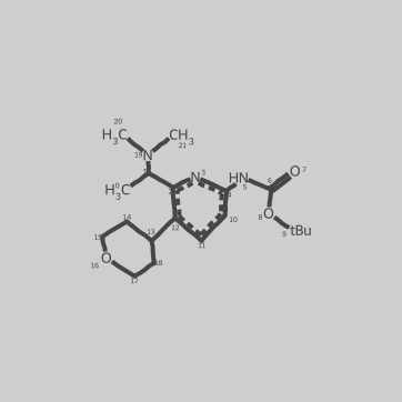 CC(c1nc(NC(=O)OC(C)(C)C)ccc1C1CCOCC1)N(C)C